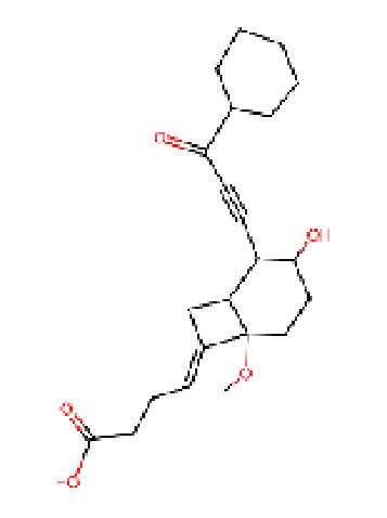 COC12CCC(O)C(C#CC(=O)C3CCCCC3)C1CC2=CCCC(=O)O